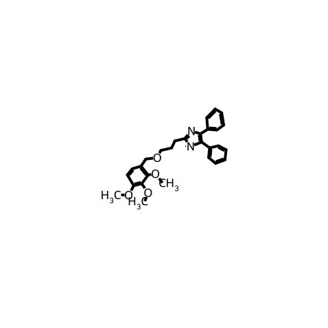 COc1ccc(COCCCC2=NC(c3ccccc3)=C(c3ccccc3)[N]2)c(OC)c1OC